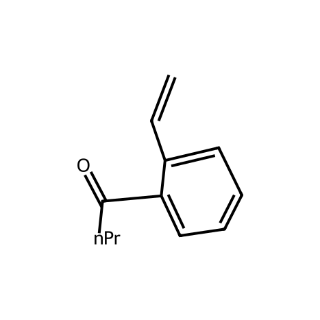 C=Cc1ccccc1C(=O)CCC